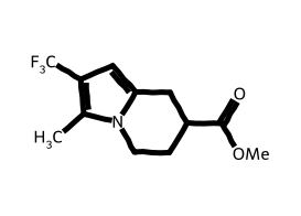 COC(=O)C1CCn2c(cc(C(F)(F)F)c2C)C1